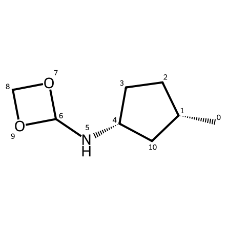 C[C@H]1CC[C@@H](NC2OCO2)C1